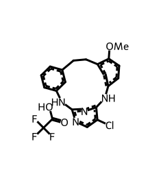 COc1ccc2cc1CCc1cccc(c1)Nc1ncc(Cl)c(n1)N2.O=C(O)C(F)(F)F